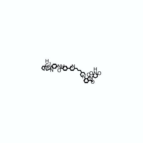 C[C@H]1CCCN1Cc1nc2cc(NC(=O)c3ccc(-c4ccc(CCCC5CCN(c6cccc7c6C(=O)N(C6CCC(=O)NC6=O)C7=O)CC5)nc4)cc3)ccc2[nH]1